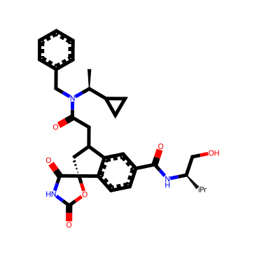 CC(C)[C@H](CO)NC(=O)c1ccc2c(c1)C(CC(=O)N(Cc1ccccc1)[C@@H](C)C1CC1)C[C@@]21OC(=O)NC1=O